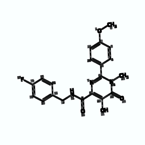 COc1ccc(-c2nc(C(=O)NCc3ccc(F)cc3)c(O)c(=O)n2C)cc1